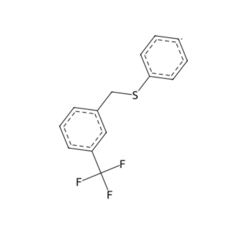 FC(F)(F)c1cccc(CSc2cc[c]cc2)c1